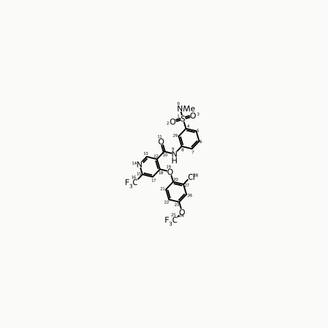 CNS(=O)(=O)c1cccc(NC(=O)c2cnc(C(F)(F)F)cc2Oc2ccc(OC(F)(F)F)cc2Cl)c1